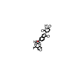 O=C1CCC(N2Cc3cc(NC4N5CCCN4C4COCC4C5I)ccc3C2=O)C(=O)N1